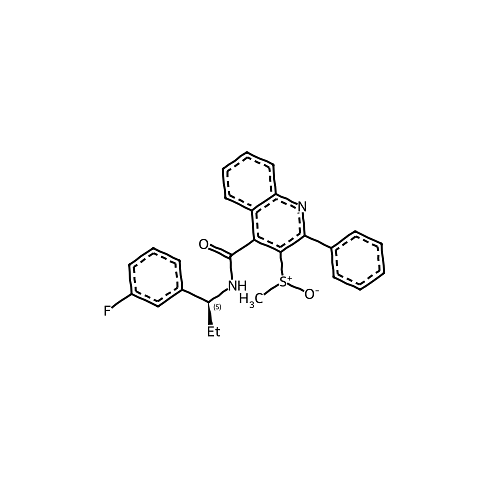 CC[C@H](NC(=O)c1c([S+](C)[O-])c(-c2ccccc2)nc2ccccc12)c1cccc(F)c1